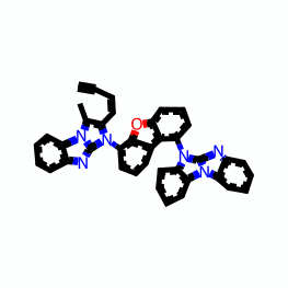 C#C/C=C\c1c(C)n2c3ccccc3nc2n1-c1cccc2c1oc1cccc(-n3c4ccccc4n4c5ccccc5nc34)c12